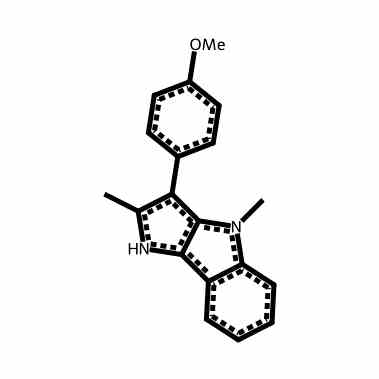 COc1ccc(-c2c(C)[nH]c3c4ccccc4n(C)c23)cc1